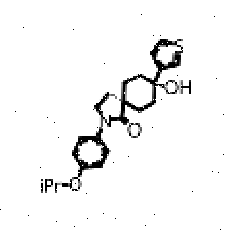 CC(C)Oc1ccc(N2CC[C@]3(CC[C@@](O)(c4ccsc4)CC3)C2=O)cc1